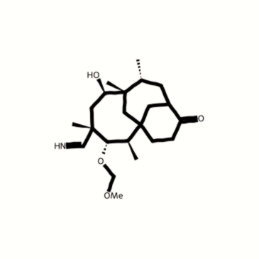 COCO[C@H]1[C@H](C)C23CCC(=O)C(C[C@@H](C)[C@](C)(C2)[C@H](O)C[C@@]1(C)C=N)C3